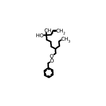 C=CCC(C)(O)CCCC(CCC)COOCc1ccccc1